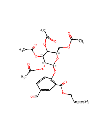 C=CCOC(=O)c1cc(C=O)ccc1O[C@@H]1O[C@H](COC(C)=O)C(OC(C)=O)[C@H](OC(C)=O)[C@H]1OC(C)=O